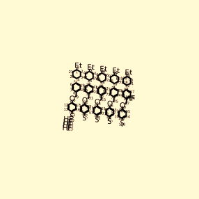 CC[C@H]1CC[C@H](c2ccc(COc3ccc([S])cc3)cc2)CC1.CC[C@H]1CC[C@H](c2ccc(COc3ccc([S])cc3)cc2)CC1.CC[C@H]1CC[C@H](c2ccc(COc3ccc([S])cc3)cc2)CC1.CC[C@H]1CC[C@H](c2ccc(COc3ccc([S])cc3)cc2)CC1.CC[C@H]1CC[C@H](c2ccc(COc3ccc([S])cc3)cc2)CC1.F.F.F.F.F